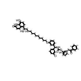 O=C(NC(c1cccc(Cl)c1)c1cccc(OCCCCCCCCCNCC(O)c2ccc(O)c3[nH]c(=O)ccc23)c1)O[C@H]1C[N+]2(CC(=O)c3ccccc3)CCC1CC2